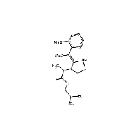 CCCCC(CC)COC(=O)C(C)N1CCNC1=C(OC)c1ccccc1OC